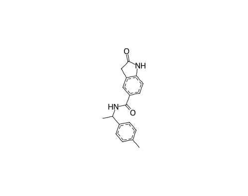 Cc1ccc(C(C)NC(=O)c2ccc3c(c2)CC(=O)N3)cc1